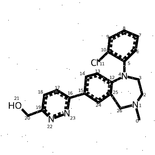 CN1CCN(c2ccccc2Cl)c2ccc(-c3ccc(CO)nn3)cc2C1